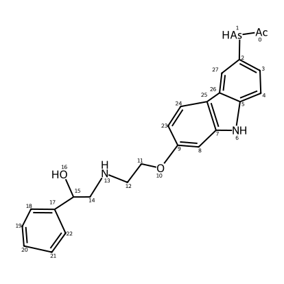 CC(=O)[AsH]c1ccc2[nH]c3cc(OCCNCC(O)c4ccccc4)ccc3c2c1